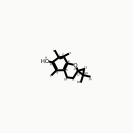 Cc1c(C)c2c(c(C)c1O)CCC1(CC1(C)C)O2